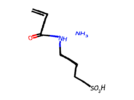 C=CC(=O)NCCCS(=O)(=O)O.N